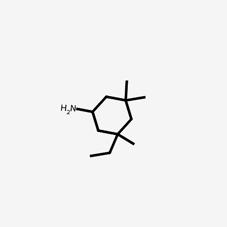 CCC1(C)CC(N)CC(C)(C)C1